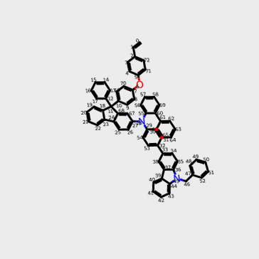 C=Cc1ccc(Oc2ccc(C3(c4ccccc4)c4ccccc4-c4ccc(N(c5ccc(-c6ccc7c(c6)c6ccccc6n7Cc6ccccc6)cc5)c5ccccc5-c5ccccc5)cc43)cc2)cc1